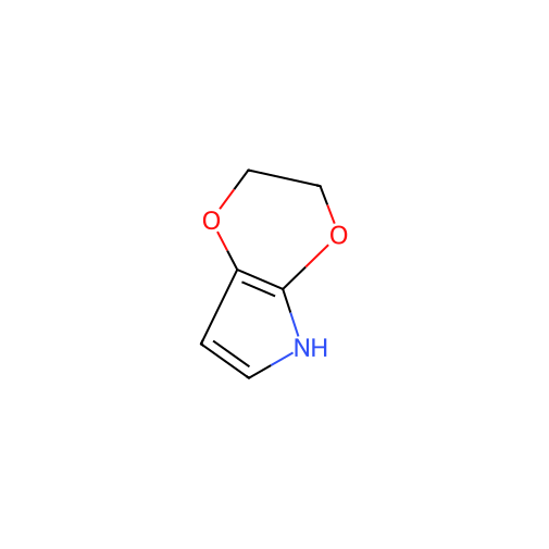 c1cc2c([nH]1)OCCO2